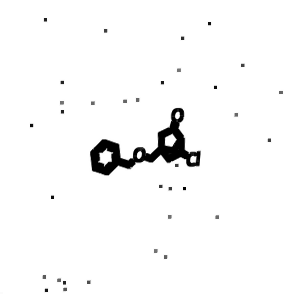 O=C1CC2(COCc3ccccc3)CC(Cl)C1C2